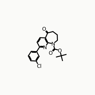 CC(C)(C)OC(=O)N1CCCC(=O)c2ccc(-c3cccc(Cl)c3)nc21